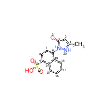 Cc1cc(=O)n(-c2ccc(S(=O)(=O)O)c3ccccc23)[nH]1